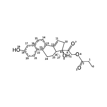 CCC(=O)OCC(=O)[C@@]1(O)CC=C2c3ccc4cc(O)ccc4c3CC[C@@]21C